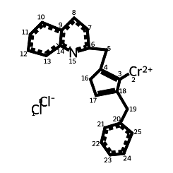 [Cl-].[Cl-].[Cr+2][C]1=C(Cc2ccc3ccccc3n2)CC=C1Cc1ccccc1